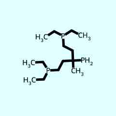 CCP(CC)CCC(C)(P)CCP(CC)CC